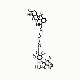 COc1cc(Nc2nc(SC)n3ccnc3c2C(N)=O)cc(OC)c1OCCOCCOCCOCCNc1cccc2c1C(=O)N(C1CCC(=O)NC1=O)C2=O